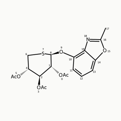 CC(=O)O[C@@H]1[C@@H](OC(C)=O)[C@H](OC(C)=O)CS[C@H]1Oc1cccc2oc(C)nc12